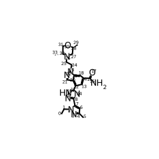 CCn1nc(C)cc1-c1n[nH]c(-c2cc(C(N)=O)cc3c2cnn3CCN2C[C@H](C)OC[C@H]2C)n1